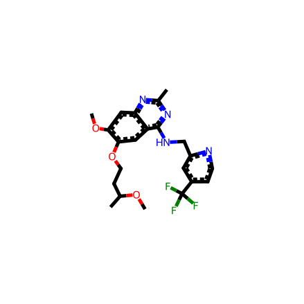 COc1cc2nc(C)nc(NCc3cc(C(F)(F)F)ccn3)c2cc1OCCC(C)OC